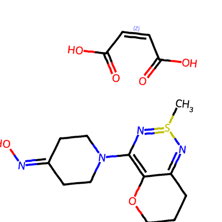 CS1=NC(N2CCC(=NO)CC2)=C2OCCCC2=N1.O=C(O)/C=C\C(=O)O